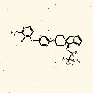 Cc1nccc(Sc2cnc(N3CCC4(CC3)Cn3cccc3/C4=N\[S@+]([O-])C(C)(C)C)cn2)c1F